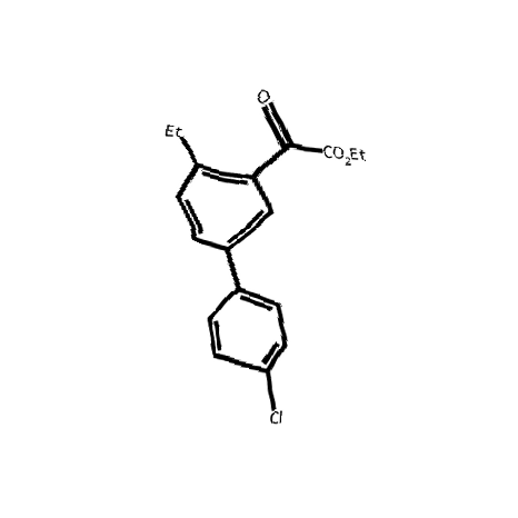 CCOC(=O)C(=O)c1cc(-c2ccc(Cl)cc2)ccc1CC